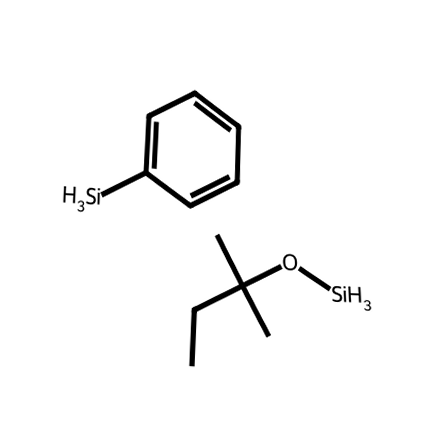 CCC(C)(C)O[SiH3].[SiH3]c1ccccc1